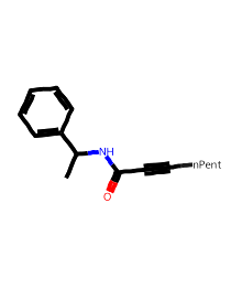 CCCCCC#CC(=O)NC(C)c1ccccc1